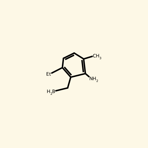 BCc1c(CC)ccc(C)c1N